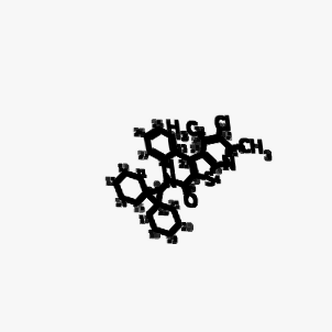 Cc1nc2sc(C(=O)NC3C4(CCCCC4)C34CCCCC4)c(-c3ccccc3)c2c(C)c1Cl